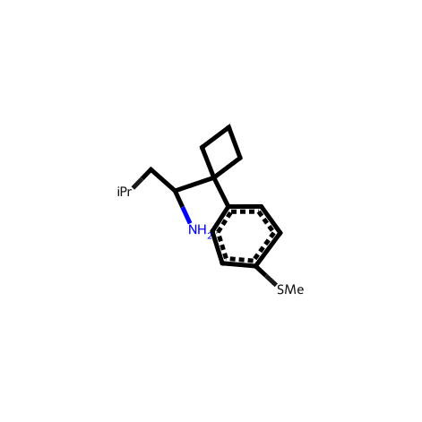 CSc1ccc(C2(C(N)CC(C)C)CCC2)cc1